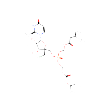 C=C1NC(=O)C=CN1[C@@H]1O[C@](CCl)(COP(=O)(OCOC(=O)CC(C)C)OCOC(=O)OC(C)C)[C@@H](O)[C@@]1(C)O